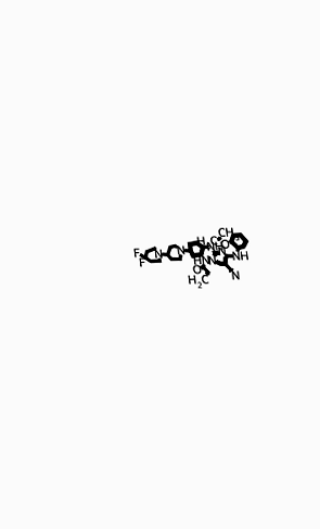 C=CC(=O)Nc1cc(N2CCC(N3CCC(F)(F)CC3)CC2)ccc1Nc1ncc(C#N)c(Nc2ccccc2OC(C)C)n1